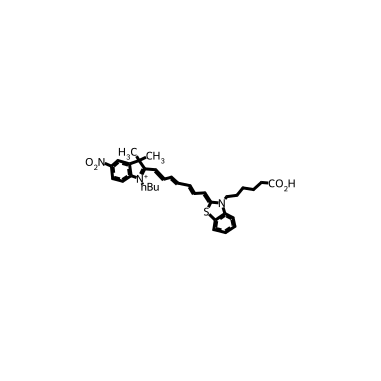 CCCC[N+]1=C(C=CC=CC=CC=C2Sc3ccccc3N2CCCCCC(=O)O)C(C)(C)c2cc([N+](=O)[O-])ccc21